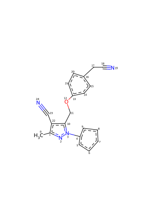 Cc1nn(-c2ccccc2)c(COc2ccc(CC#N)cc2)c1C#N